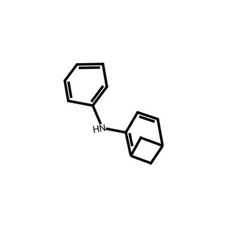 C1=CC2CC(=C1Nc1ccccc1)C2